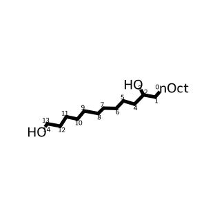 CCCCCCCCCC(O)CCCCCCCCCCO